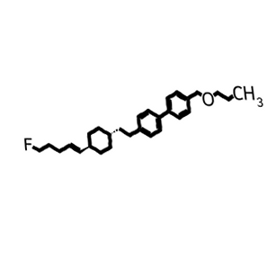 CCCOCc1ccc(-c2ccc(CC[C@H]3CC[C@H](/C=C/CCCF)CC3)cc2)cc1